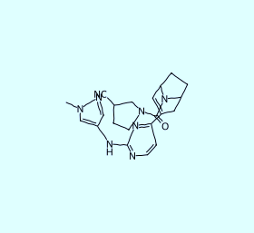 Cn1cc(Nc2nccc(C3=CC4CCC(C3)N4C(=O)N3CCC(C#N)C3)n2)cn1